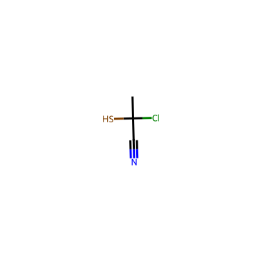 CC(S)(Cl)C#N